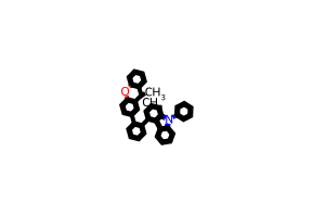 CC1(C)c2ccccc2Oc2ccc(-c3ccccc3-c3cccc4c3c3ccccc3n4-c3ccccc3)cc21